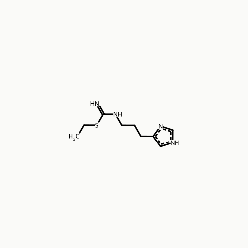 CCSC(=N)NCCCc1c[nH]cn1